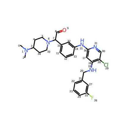 CN(C)C1CCN(C(C=O)c2cccc(Nc3cc(NCc4cccc(F)c4)c(Cl)cn3)c2)CC1